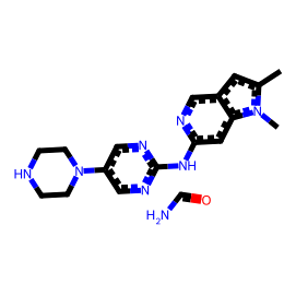 Cc1cc2cnc(Nc3ncc(N4CCNCC4)cn3)cc2n1C.NC=O